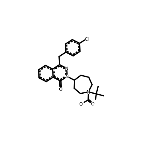 CC(C)(C)[N+]1(C(=O)[O-])CCCC(n2nc(Cc3ccc(Cl)cc3)c3ccccc3c2=O)CC1